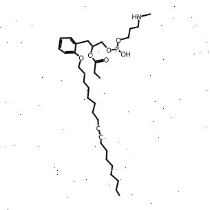 CCCCCCCCCCCCCCCCCCOc1ccccc1CC(COP(O)OCCCNC)OC(=O)CC